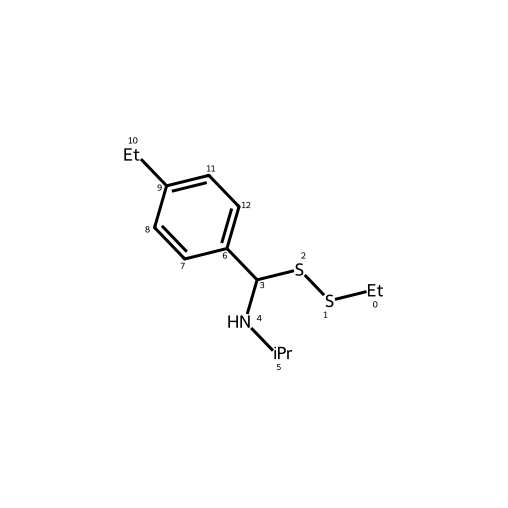 CCSSC(NC(C)C)c1ccc(CC)cc1